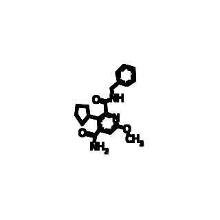 COc1cc(C(N)=O)c(C2CCCC2)c(C(=O)NCc2ccccc2)n1